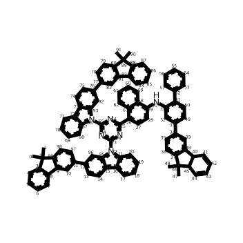 CC1(C)c2ccccc2-c2cc(-c3ccc4c5ccccc5n(-c5nc(-c6ccc(Nc7cc(-c8ccc9c(c8)C8C=CC=CC8C9(C)C)ccc7-c7ccccc7)c7ccccc67)nc(-n6c7ccccc7c7ccc(-c8ccc9c(c8)-c8ccccc8C9(C)C)cc76)n5)c4c3)ccc21